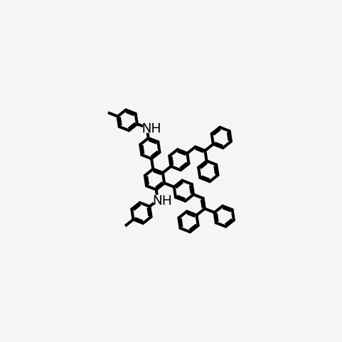 Cc1ccc(Nc2ccc(-c3ccc(Nc4ccc(C)cc4)c(-c4ccc(C=C(c5ccccc5)c5ccccc5)cc4)c3-c3ccc(C=C(c4ccccc4)c4ccccc4)cc3)cc2)cc1